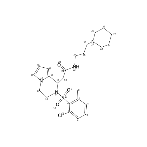 Cc1cccc(Cl)c1S(=O)(=O)N1CCn2cccc2C1CC(=O)NCCCN1CCCCC1